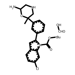 CC(C)(C)OC(=O)n1c(-c2cccc(C3(C)CNCC(N)O3)c2)cc2ccc(Cl)cc21.O=CO